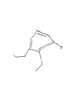 CCc1cc[c]c(F)c1CC